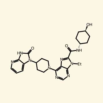 CCn1c(C(=O)N[C@H]2CC[C@H](O)CC2)nc2c(N3CCC(n4c(=O)[nH]c5ncccc54)CC3)ncnc21